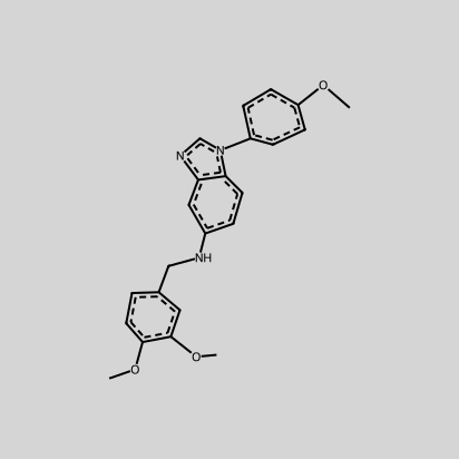 COc1ccc(-n2cnc3cc(NCc4ccc(OC)c(OC)c4)ccc32)cc1